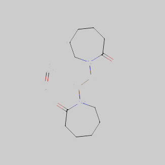 O=C1CCCCCN1SSN1CCCCCC1=O.[O]=[Zn]